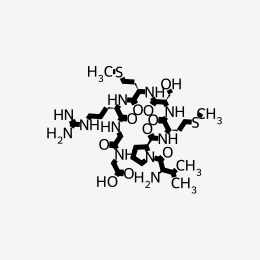 CSCC[C@H](NC(=O)[C@H](CO)NC(=O)[C@H](CCSC)NC(=O)[C@@H]1CCCN1C(=O)[C@@H](N)C(C)C)C(=O)N[C@@H](CCCNC(=N)N)C(=O)NCC(=O)NCC(=O)O